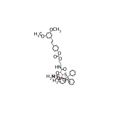 COc1cc(C=Cc2ccc(OC(=O)OCCNC(=O)C(OC(N)=O)C(SC(c3ccccc3)(c3ccccc3)c3ccccc3)C(C)(C)C)cc2)cc(OC)c1